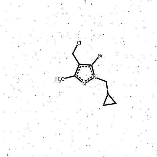 Cc1nn(CC2CC2)c(Br)c1CCl